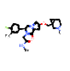 CC(C)NC(=O)Cn1c(-c2ccc(F)c(C(F)(F)F)c2)cn2cc(OCC34CC3CCN(C)C4)cc2c1=O